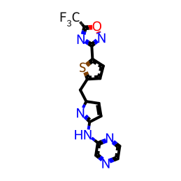 FC(F)(F)c1nc(-c2ccc(CC3C=CC(Nc4cnccn4)=N3)s2)no1